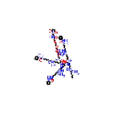 CCCC/C(N)=C/NCCCC[C@H](NC(=O)CCCN(N)/C=C(\N)CCCCNC(=O)Nc1ccccc1)C(=O)N[C@@H](CCCCN/C=C(\N)CCCCNC(=O)Nc1ccccc1)C(=O)N[C@@H](CCCCN/C=C(\N)CCCCNC(=O)Nc1ccccc1)C(=O)NCCOCCOCCOCCOCCC(=O)NCCN1C(=O)C=CC1=O